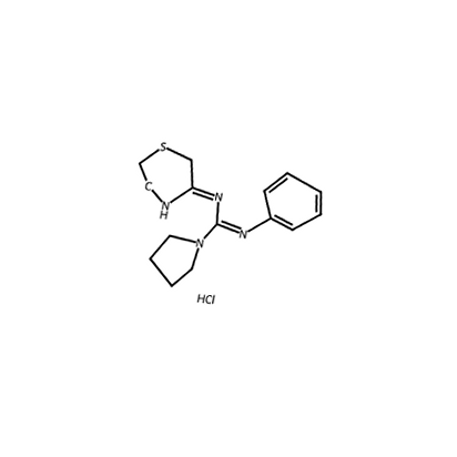 Cl.c1ccc(N=C(N=C2CSCCN2)N2CCCC2)cc1